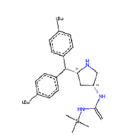 C=C(N[C@H]1CN[C@@H](C(c2ccc(C(C)(C)C)cc2)c2ccc(C(C)(C)C)cc2)C1)N[Si](C)(C)C